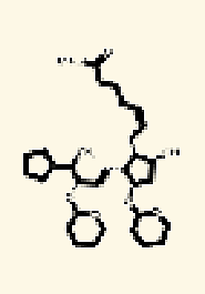 COC(=O)CCC/C=C\C[C@@H]1[C@@H](/C=C/[C@H](OC2CCCCO2)C(C)C2CCCC2)[C@H](OC2CCCCO2)C[C@@H]1O